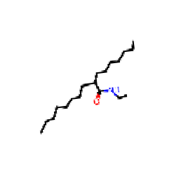 CCCCCCCCC(CCCCCCC)C(=O)NCC